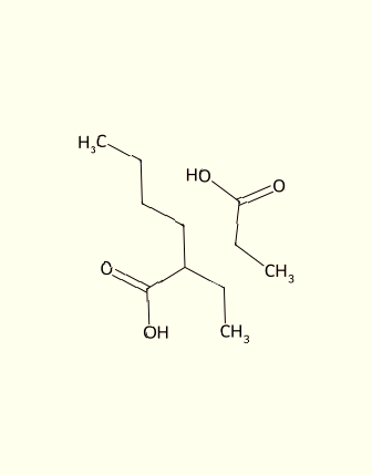 CCC(=O)O.CCCCC(CC)C(=O)O